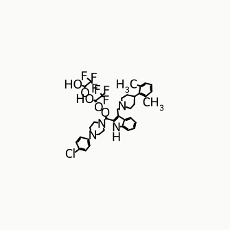 Cc1cccc(C)c1C1CCN(Cc2c(C(=O)N3CCN(c4ccc(Cl)cc4)CC3)[nH]c3ccccc23)CC1.O=C(O)C(F)(F)F.O=C(O)C(F)(F)F